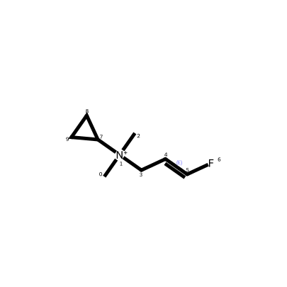 C[N+](C)(C/C=C/F)C1CC1